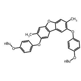 CCCCOc1ccc(Oc2cc3c(cc2C)oc2cc(C)c(Oc4ccc(OCCCC)cc4)cc23)cc1